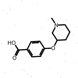 CN1CCCC(Oc2ccc(C(=O)O)cc2)C1